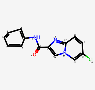 O=C(Nc1ccccc1)c1cn2cc(Cl)ccc2n1